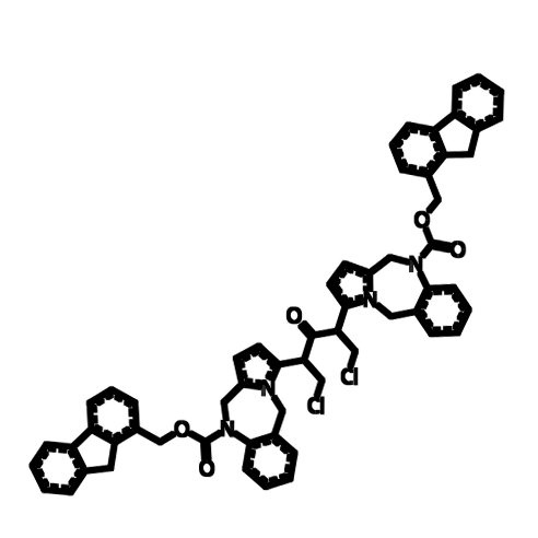 O=C(C(CCl)c1ccc2n1Cc1ccccc1N(C(=O)OCc1cccc3c1Cc1ccccc1-3)C2)C(CCl)c1ccc2n1Cc1ccccc1N(C(=O)OCc1cccc3c1Cc1ccccc1-3)C2